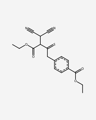 CCOC(=O)c1ccc(CC(=S)C(C(=O)OCC)C(C#N)C#N)cc1